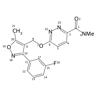 CNC(=O)c1ccc(OCc2c(-c3cccc(F)c3)noc2C)nn1